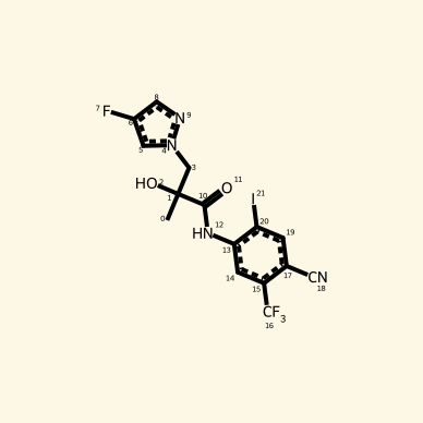 CC(O)(Cn1cc(F)cn1)C(=O)Nc1cc(C(F)(F)F)c(C#N)cc1I